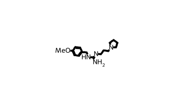 COc1ccc(CNC(N)=NCCCN2CCCC2)cc1